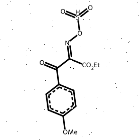 CCOC(=O)/C(=N\O[SH](=O)=O)C(=O)c1ccc(OC)cc1